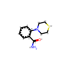 NC(=O)c1ccccc1N1CCSCC1